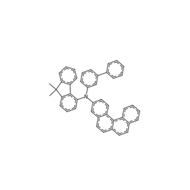 CC1(C)c2ccccc2-c2c(N(c3cccc(-c4ccccc4)c3)c3ccc4c(ccc5ccc6ccccc6c54)c3)cccc21